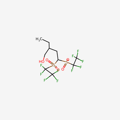 CCC(CO)CC(S(=O)(=O)C(F)(F)C(F)(F)F)S(=O)(=O)C(F)(F)C(F)(F)F